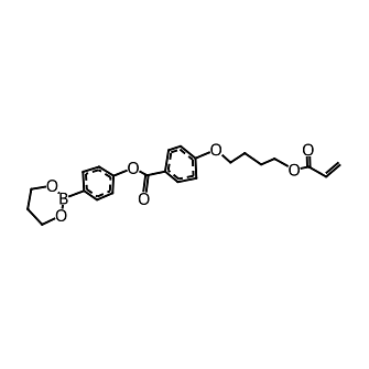 C=CC(=O)OCCCCOc1ccc(C(=O)Oc2ccc(B3OCCCO3)cc2)cc1